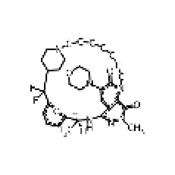 C[C@H]1Nc2nn(C)c(=O)c3c2cc(N2CCOCC2)c(=O)n3CCCCCCCN2CCC(CC2)C(F)(F)c2cccc1c2